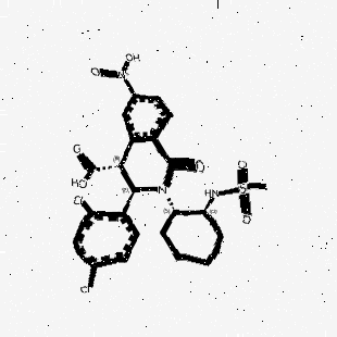 CS(=O)(=O)N[C@H]1CCCC[C@@H]1N1C(=O)c2ccc([N+](=O)O)cc2[C@@H](C(=O)O)[C@@H]1c1ccc(Cl)cc1Cl